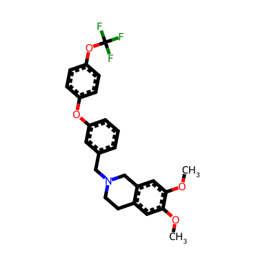 COc1cc2c(cc1OC)CN(Cc1cccc(Oc3ccc(OC(F)(F)F)cc3)c1)CC2